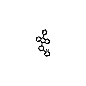 c1ccc(-c2c3ccccc3c(-c3cccc(-c4ccccn4)c3)c3ccccc23)cc1